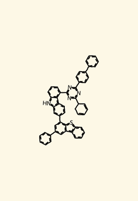 C1=CCC(c2nc(-c3ccc(-c4ccccc4)cc3)nc(-c3cccc4[nH]c5cc(-c6cc(-c7ccccc7)cc7c6sc6ccccc67)ccc5c34)n2)C=C1